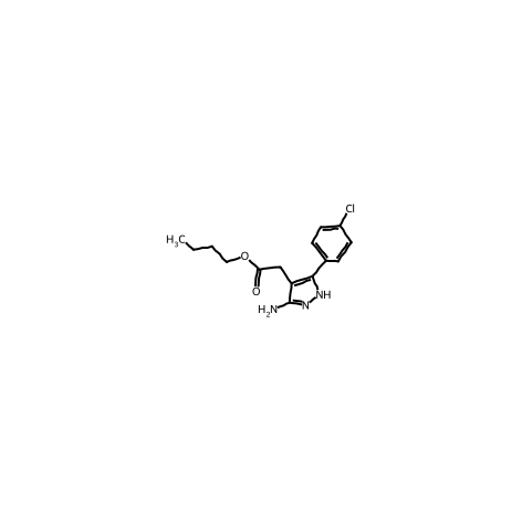 CCCCOC(=O)Cc1c(N)n[nH]c1-c1ccc(Cl)cc1